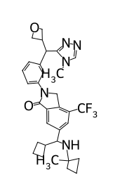 Cn1cnnc1C(c1cccc(N2Cc3c(cc(C(NC4(C)CCC4)C4CCC4)cc3C(F)(F)F)C2=O)c1)C1COC1